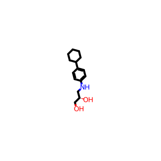 OC[C@@H](O)CNc1ccc(C2CCCCC2)cc1